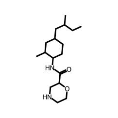 CCC(C)CC1CCC(NC(=O)C2CNCCO2)C(C)C1